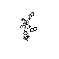 CC(C)N(C(=O)NCc1ccccc1)N1CC(=O)N2[C@@H](Cc3ccc(NS(C)(=O)=O)cc3)C(=O)N(Cc3cccc4ccccc34)C[C@@H]21